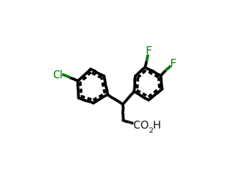 O=C(O)CC(c1ccc(Cl)cc1)c1ccc(F)c(F)c1